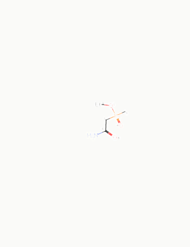 CCOP(C)(=O)CC(N)=O